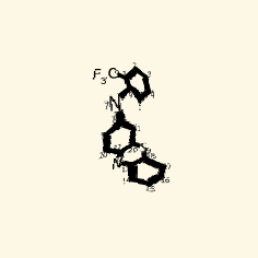 FC(F)(F)c1ccccc1N=c1ccc2nc3ccccc3sc-2c1